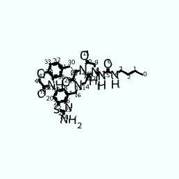 CCCCNC(=O)NN1CC(=O)N2[C@@H]1CN(Cc1cccc3sc(N)nc13)C(=O)[C@@H]2Cc1ccc2c(c1)NC(=O)CO2